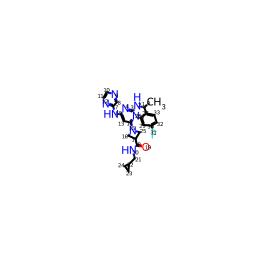 CC(Nc1nc(Nc2cnccn2)cc(N2CC(C(=O)NCC3CC3)C2)n1)c1ccc(F)cc1